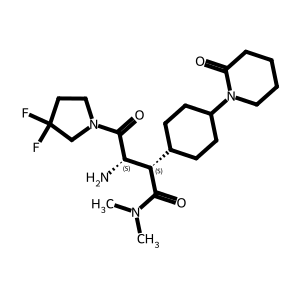 CN(C)C(=O)[C@@H](C1CCC(N2CCCCC2=O)CC1)[C@H](N)C(=O)N1CCC(F)(F)C1